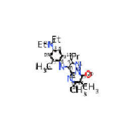 CCN(CC)c1ccc(N=C2C(C(C)C)=Nn3c2nc(C)c(C)c3=O)c(C)c1